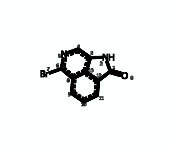 O=C1Nc2cnc(Br)c3cccc1c23